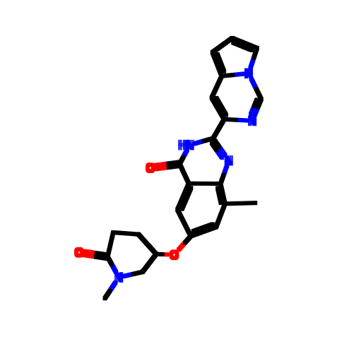 Cc1cc(OC2CCC(=O)N(C)C2)cc2c(=O)[nH]c(-c3cc4cccn4cn3)nc12